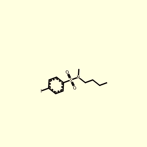 CCCCN(C)S(=O)(=O)c1ccc(I)cc1